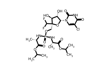 CC(C)OC(=O)[C@H](C)NP(=O)(N[C@@H](C)C(=O)OC(C)C)OC[C@@]1(C(F)F)O[C@@H](n2cc(Cl)c(=O)[nH]c2=O)[C@@H](O)[C@@H]1O